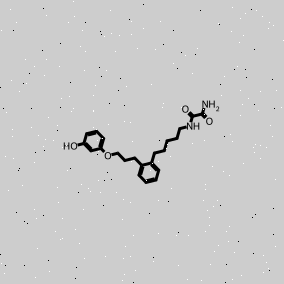 NC(=O)C(=O)NCCCCCc1ccccc1CCCOc1cccc(O)c1